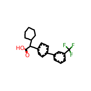 O=C(O)C(c1ccc(-c2cccc(C(F)(F)F)c2)cc1)C1CCCCC1